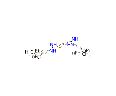 CCCC(C)(CCC)SCCNC(=N)CCSSCCC(=N)NCCSC1CCC1C(C)(CC)CCC